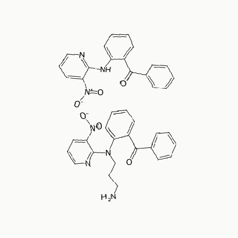 NCCCN(c1ccccc1C(=O)c1ccccc1)c1ncccc1[N+](=O)[O-].O=C(c1ccccc1)c1ccccc1Nc1ncccc1[N+](=O)[O-]